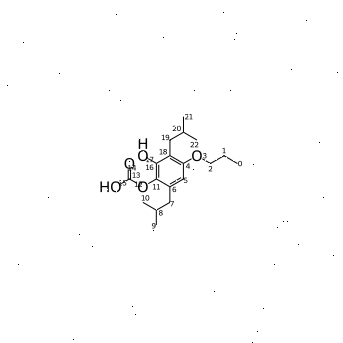 CCCOc1cc(CC(C)C)c(OC(=O)O)c(O)c1CC(C)C